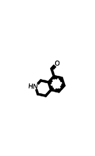 O=Cc1cccc2c1CNCC2